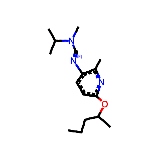 CCCC(C)Oc1ccc(/N=C/N(C)C(C)C)c(C)n1